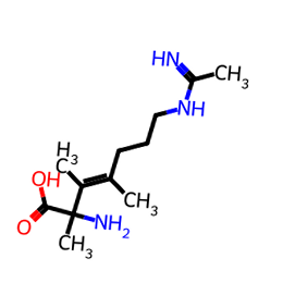 CC(=N)NCCC/C(C)=C(\C)C(C)(N)C(=O)O